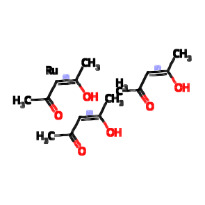 CC(=O)/C=C(/C)O.CC(=O)/C=C(/C)O.CC(=O)/C=C(/C)O.[Ru]